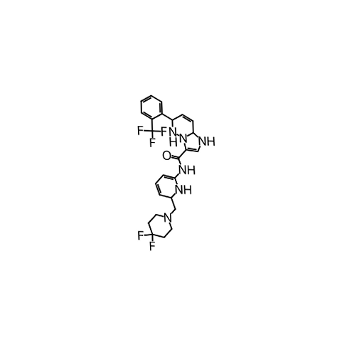 O=C(NC1=CC=CC(CN2CCC(F)(F)CC2)N1)C1=CNC2C=CC(c3ccccc3C(F)(F)F)NN12